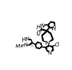 CN/C=C(\C=N)c1ccc(-c2cncc(Cl)c2N2CCC3(CC2)C(=O)Nc2cccnc23)cc1